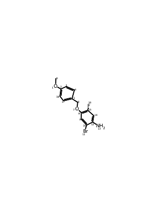 COc1ccc(COc2cc(Br)c(N)cc2F)cc1